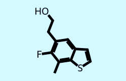 Cc1c(F)c(CCO)cc2ccsc12